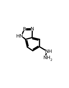 NNc1ccc2[nH]bnc2c1